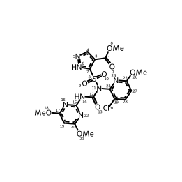 COC(=O)c1cn[nH]c1S(=O)(=O)N(C(=O)Nc1nc(OC)cc(OC)n1)c1nc(OC)ccc1Cl